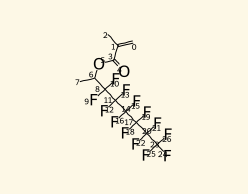 C=C(C)C(=O)OC(C)C(F)(F)C(F)(F)C(F)(F)C(F)(F)C(F)(F)C(F)(F)F